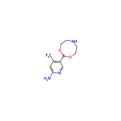 Nc1cc(C(F)(F)F)c(B2OCCNCCO2)cn1